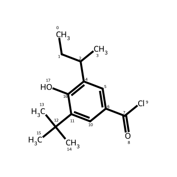 CCC(C)c1cc(C(=O)Cl)cc(C(C)(C)C)c1O